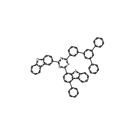 c1ccc(-c2cc(-c3ccccc3)cc(-c3cccc(-c4nc(-c5ccc6oc7ccccc7c6c5)nc(-c5ccc(-c6ccccc6)c6c5sc5ccccc56)n4)c3)c2)cc1